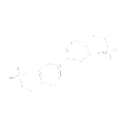 CC(C[n+]1ccc(-c2cc[n+](CC(C)S(=O)(=O)[O-])cc2)cc1)S(=O)(=O)[O-]